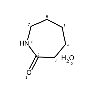 O.O=C1CCCCCN1